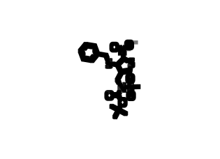 CC(C)(C)OC(=O)N(CC1=CSC([N+](=O)[O-])C1SCc1ccccc1)S(C)(=O)=O